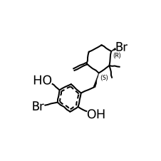 C=C1CC[C@@H](Br)C(C)(C)[C@H]1Cc1cc(O)c(Br)cc1O